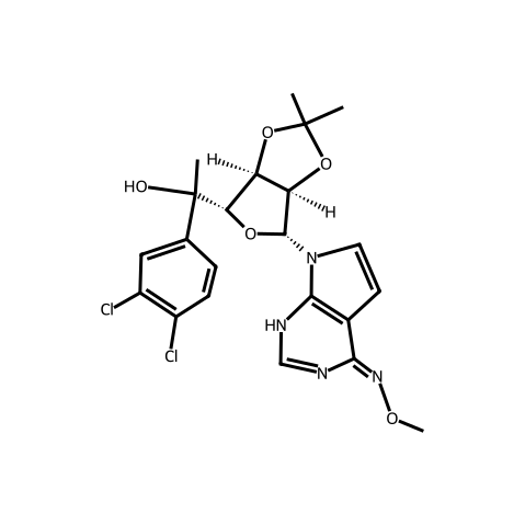 CON=c1nc[nH]c2c1ccn2[C@@H]1O[C@H](C(C)(O)c2ccc(Cl)c(Cl)c2)[C@H]2OC(C)(C)O[C@H]21